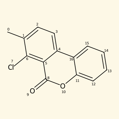 Cc1ccc2c(c1Cl)c(=O)oc1ccccc12